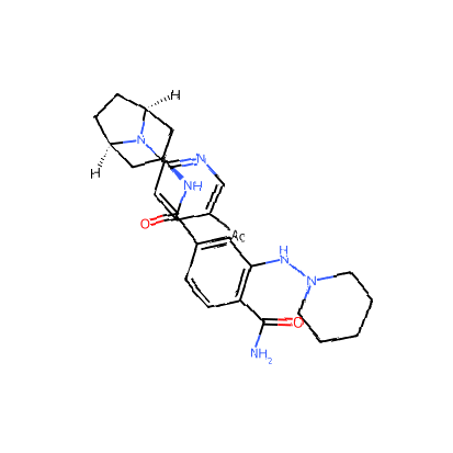 CC(=O)c1ccc(N2[C@@H]3CC[C@H]2C[C@@H](NC(=O)c2ccc(C(N)=O)c(NN4CCCCC4)c2)C3)nc1